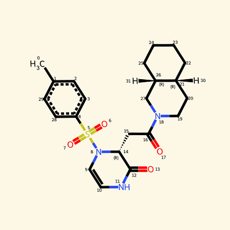 Cc1ccc(S(=O)(=O)N2C=CNC(=O)[C@H]2CC(=O)N2CC[C@H]3CCCC[C@H]3C2)cc1